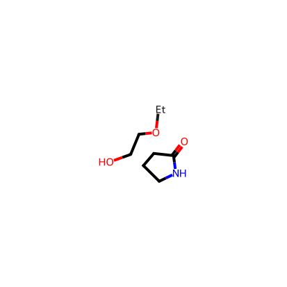 CCOCCO.O=C1CCCN1